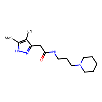 CSc1[nH]nc(CC(=O)NCCCN2CCCCC2)c1C#N